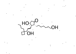 CCCCC1([C@H](O)/C=C/[C@H]2[C@H](O)CC(=O)[C@@H]2CCCCCCCO)CCC1